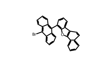 Brc1c2ccccc2c(-c2cccc3c2oc2c4ccccc4ccc32)c2ccccc12